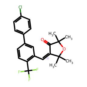 CC1(C)OC(C)(C)/C(=C/c2cc(-c3ccc(Cl)cc3)ccc2C(F)(F)F)C1=O